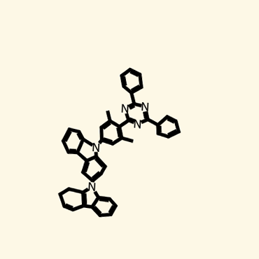 Cc1cc(-n2c3ccccc3c3cc(-n4c5c(c6ccccc64)C=CCC5)ccc32)cc(C)c1-c1nc(-c2ccccc2)nc(-c2ccccc2)n1